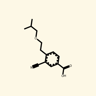 CC(C)COCCc1ccc(C(=O)O)cc1C#N